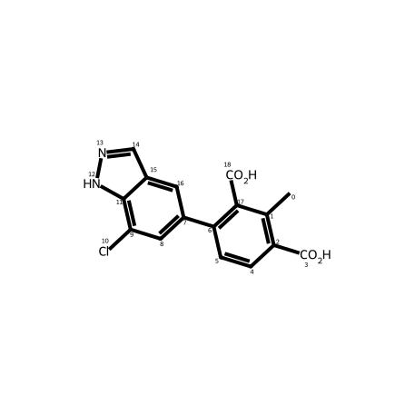 Cc1c(C(=O)O)ccc(-c2cc(Cl)c3[nH]ncc3c2)c1C(=O)O